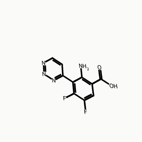 Nc1c(C(=O)O)cc(F)c(F)c1-c1ccnnn1